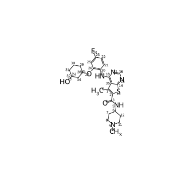 Cc1c(C(=O)NC2CCN(C)CC2)sc2ncnc(Nc3ccc(F)cc3O[C@H]3CCC[C@H](O)C3)c12